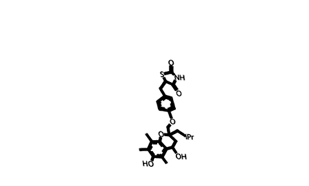 Cc1c(C)c2c(c(C)c1O)C(O)CC(COc1ccc(CC3SC(=O)NC3=O)cc1)(CC(C)C)O2